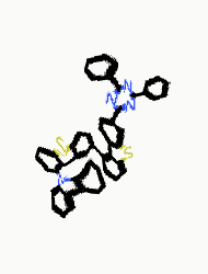 c1ccc(-c2nc(-c3ccccc3)nc(-c3ccc4c(c3)sc3cccc(-c5ccc6sc7cccc(-n8c9ccccc9c9ccccc98)c7c6c5)c34)n2)cc1